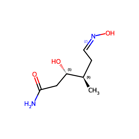 C[C@H](C/C=N\O)[C@@H](O)CC(N)=O